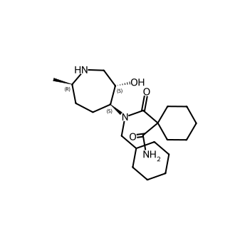 C[C@@H]1CC[C@H](N(CC2CCCCC2)C(=O)C2(C(N)=O)CCCCC2)[C@@H](O)CN1